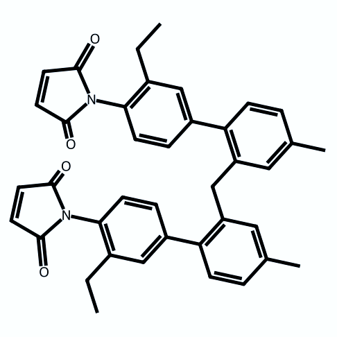 CCc1cc(-c2ccc(C)cc2Cc2cc(C)ccc2-c2ccc(N3C(=O)C=CC3=O)c(CC)c2)ccc1N1C(=O)C=CC1=O